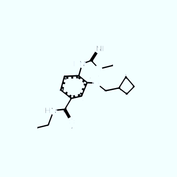 CCNC(=O)c1ccc(NC(=N)SC)c(OCC2CCC2)c1